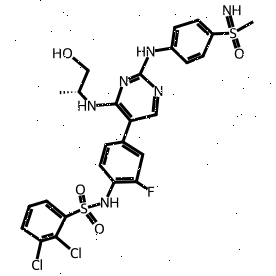 C[C@H](CO)Nc1nc(Nc2ccc(S(C)(=N)=O)cc2)ncc1-c1ccc(NS(=O)(=O)c2cccc(Cl)c2Cl)c(F)c1